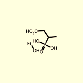 CC(CC(=O)O)P(=O)(O)O.CCO